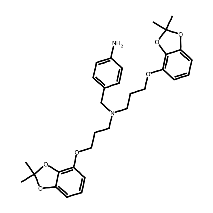 CC1(C)Oc2cccc(OCCCN(CCCOc3cccc4c3OC(C)(C)O4)Cc3ccc(N)cc3)c2O1